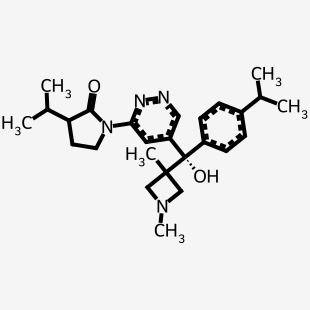 CC(C)c1ccc([C@](O)(c2cnnc(N3CCC(C(C)C)C3=O)c2)C2(C)CN(C)C2)cc1